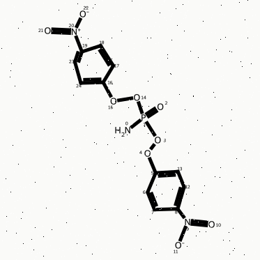 NP(=O)(OOc1ccc([N+](=O)[O-])cc1)OOc1ccc([N+](=O)[O-])cc1